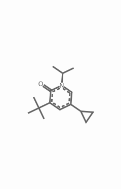 CC(C)n1cc(C2CC2)cc(C(C)(C)C)c1=O